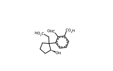 O=Cc1c(C(=O)O)cccc1C1(CC(=O)O)CCC[C@@H]1O